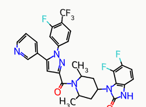 CC1CC(n2c(=O)[nH]c3ccc(F)c(F)c32)CC(C)N1C(=O)c1cc(-c2cccnc2)n(-c2ccc(C(F)(F)F)c(F)c2)n1